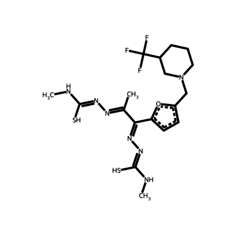 CN/C(S)=N/N=C(/C(C)=N/N=C(\S)NC)c1ccc(CN2CCCC(C(F)(F)F)C2)o1